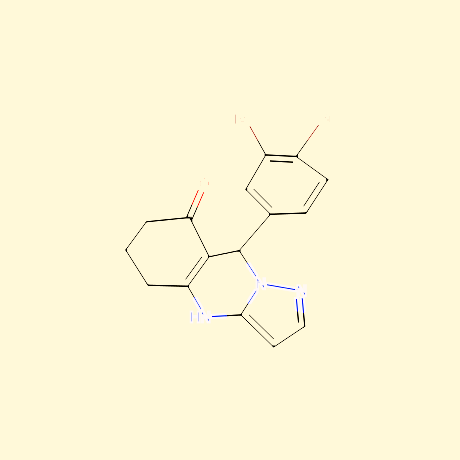 O=C1CCCC2=C1C(c1ccc(Br)c(Br)c1)n1nccc1N2